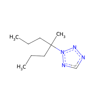 CCCC(C)(CCC)n1ncnn1